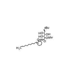 C=CCCCCCCCCN1CCCCC(NC(=O)[C@H](OC)[C@H](O)[C@@H](O)[C@H](O)C=CC(C)(C)C)C1=O